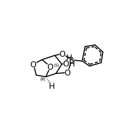 O[C@@H]1C2OB(c3ccccc3)OC1[C@H]1COC2O1